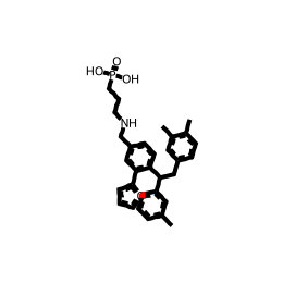 Cc1cccc(C(Cc2ccc(C)c(C)c2)c2ccc(CNCCCP(=O)(O)O)cc2-c2ccco2)c1